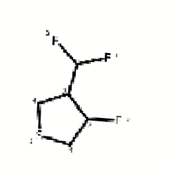 FC(F)C1CSCC1F